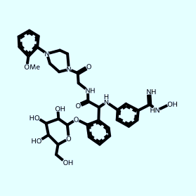 COc1ccccc1N1CCN(C(=O)CNC(=O)C(Nc2cccc(C(=N)NO)c2)c2ccccc2OC2OC(CO)C(O)C(O)C2O)CC1